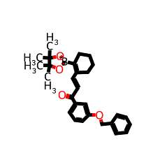 CC1(C)OB(C2=C(C=CC(=O)c3cccc(OCc4ccccc4)c3)CCCC2)OC1(C)C